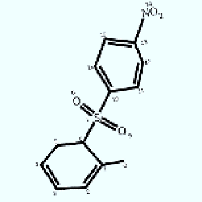 CC1=CC=CCC1S(=O)(=O)c1ccc([N+](=O)[O-])cc1